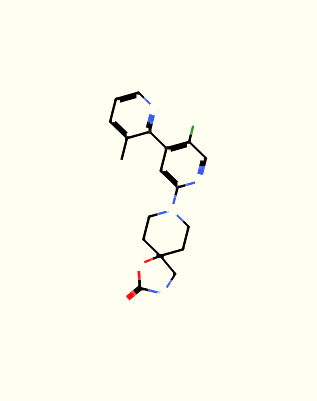 Cc1cccnc1-c1cc(N2CCC3(CC2)CNC(=O)O3)ncc1Cl